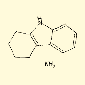 N.c1ccc2c3c([nH]c2c1)CCCC3